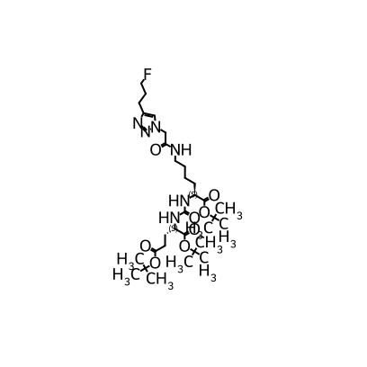 CC(C)(C)OC(=O)CC[C@H](NC(=O)N[C@@H](CCCCNC(=O)Cn1cc(CCCF)nn1)C(=O)OC(C)(C)C)C(=O)OC(C)(C)C